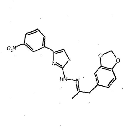 CC(Cc1ccc2c(c1)OCO2)=NNc1nc(-c2cccc([N+](=O)[O-])c2)cs1